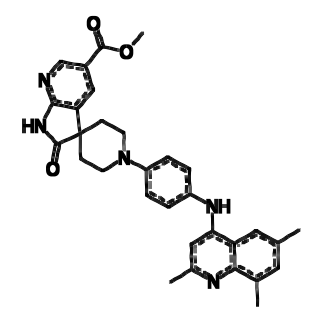 COC(=O)c1cnc2c(c1)C1(CCN(c3ccc(Nc4cc(C)nc5c(C)cc(C)cc45)cc3)CC1)C(=O)N2